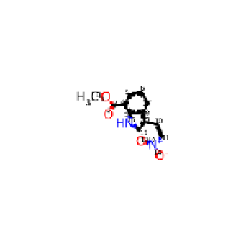 COC(=O)c1cccc2c(/C=C\[N+](=O)[O-])c[nH]c12